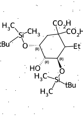 CCC1[C@@H](O[Si](C)(C)C(C)(C)C)[C@H](O)[C@H](O[Si](C)(C)C(C)(C)C)CC1(C(=O)O)C(=O)O